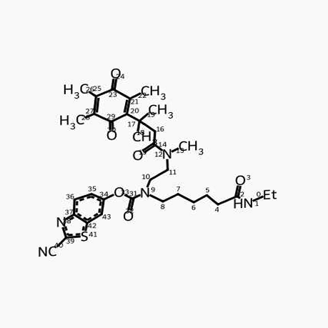 CCNC(=O)CCCCCN(CCN(C)C(=O)CC(C)(C)C1=C(C)C(=O)C(C)=C(C)C1=O)C(=O)Oc1ccc2nc(C#N)sc2c1